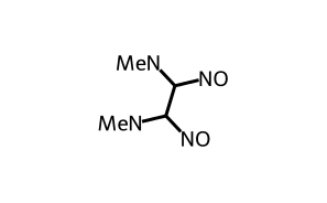 CNC(N=O)C(N=O)NC